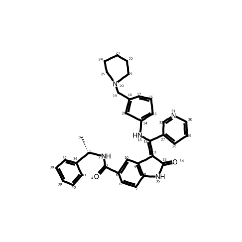 C[C@H](NC(=O)c1ccc2c(c1)C(=C(Nc1cccc(CN3CCCCC3)c1)c1cccnc1)C(=O)N2)c1ccccc1